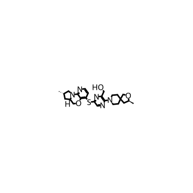 C[C@H]1C[C@H]2COc3c(Sc4cnc(N5CCC6(CC5)CO[C@@H](C)C6)c(CO)n4)ccnc3N2C1